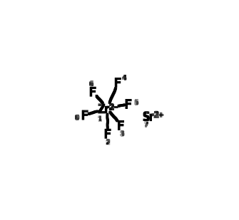 [F][Zr-2]([F])([F])([F])([F])[F].[Sr+2]